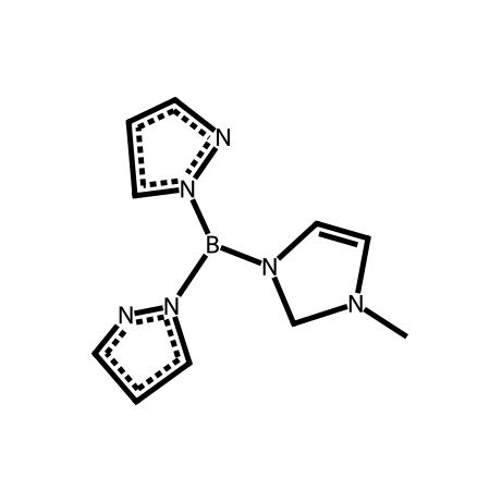 CN1C=CN(B(n2cccn2)n2cccn2)C1